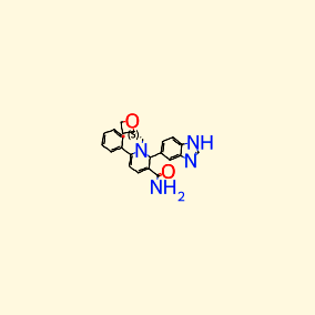 NC(=O)C1=CC=C(c2ccccc2)N(C[C@@H]2CCO2)C1c1ccc2[nH]cnc2c1